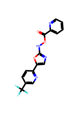 O=C(ONc1ncc(-c2ccc(C(F)(F)F)cn2)o1)c1ccccn1